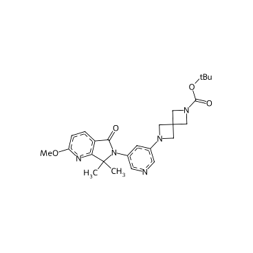 COc1ccc2c(n1)C(C)(C)N(c1cncc(N3CC4(CN(C(=O)OC(C)(C)C)C4)C3)c1)C2=O